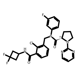 O=C(NC1CC(F)(F)C1)c1cccc(CN(C(=O)[C@@H]2CCCN2c2ncccn2)c2cccc(F)c2)c1Cl